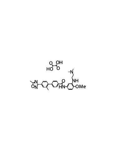 COc1ccc(NC(=O)c2ccc(-c3ccc(-c4noc(C)n4)cc3C)cc2)cc1NCCN(C)C.O=C(O)C(=O)O